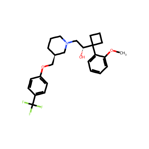 COc1ccccc1C1([C@H](O)CN2CCC[C@H](COc3ccc(C(F)(F)F)cc3)C2)CCC1